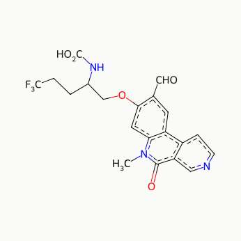 Cn1c(=O)c2cnccc2c2cc(C=O)c(OCC(CCC(F)(F)F)NC(=O)O)cc21